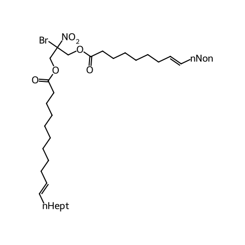 CCCCCCC/C=C/CCCCCCCCC(=O)OCC(Br)(COC(=O)CCCCCC/C=C/CCCCCCCCC)[N+](=O)[O-]